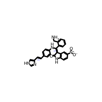 NCc1ccccc1/C(Nc1ccc(/C=C/c2c[nH]cn2)cc1)=C1/C(=O)Nc2ccc([N+](=O)[O-])cc21